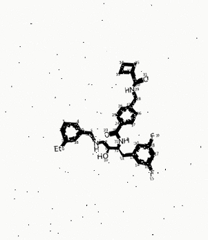 CCc1cccc(CNC[C@H](O)[C@H](Cc2cc(F)cc(F)c2)NC(=O)c2ccc(CNC(=O)C3CCC3)cc2)c1